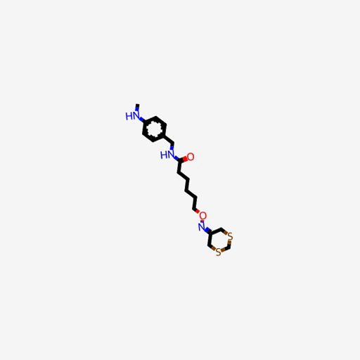 CNc1ccc(CNC(=O)CCCCCON=C2CSCSC2)cc1